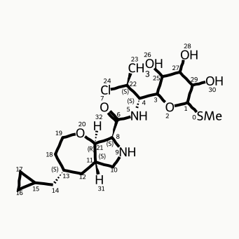 CSC1OC([C@H](NC(=O)[C@H]2NC[C@@H]3C[C@H](CC4CC4)CCO[C@H]32)[C@H](C)Cl)C(O)C(O)C1O